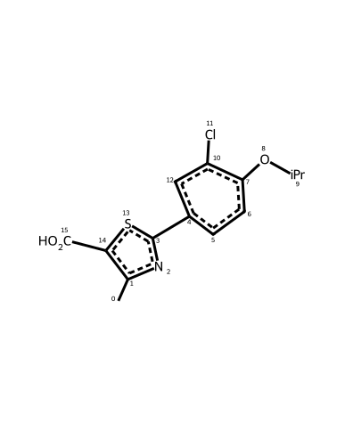 Cc1nc(-c2ccc(OC(C)C)c(Cl)c2)sc1C(=O)O